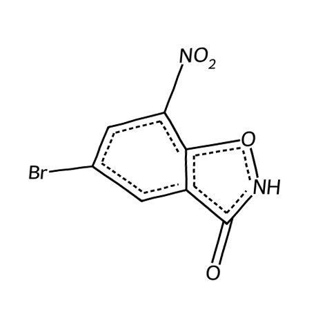 O=c1[nH]oc2c([N+](=O)[O-])cc(Br)cc12